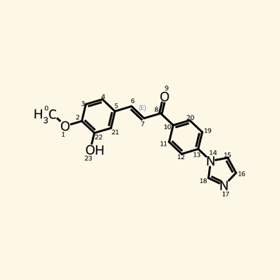 COc1ccc(/C=C/C(=O)c2ccc(-n3ccnc3)cc2)cc1O